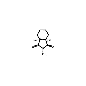 CN1C(=O)[C@H]2CCCC[C@H]2C1=O